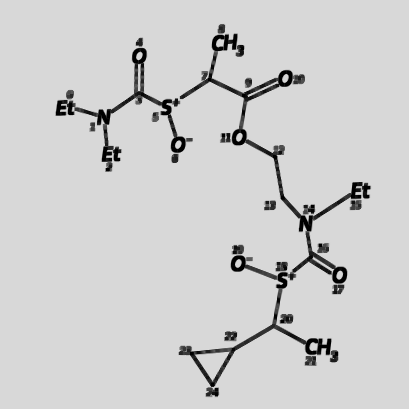 CCN(CC)C(=O)[S+]([O-])C(C)C(=O)OCCN(CC)C(=O)[S+]([O-])C(C)C1CC1